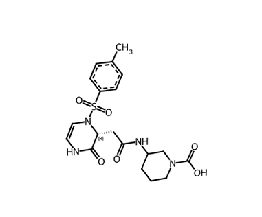 Cc1ccc(S(=O)(=O)N2C=CNC(=O)[C@H]2CC(=O)NC2CCCN(C(=O)O)C2)cc1